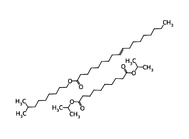 CC(C)OC(=O)CCCCCCCCC(=O)OC(C)C.CCCCCCCCC=CCCCCCCCC(=O)OCCCCCCCC(C)C